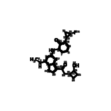 CNc1cc(Nc2cccn([C@H]3C[C@@H]3F)c2=O)nc2c(C(=O)C[C@@H]3CC[C@@H]3O)cnn12